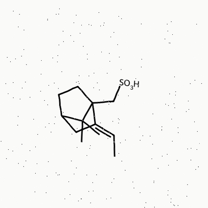 CC=C1CC2CCC1(CS(=O)(=O)O)C2(C)C